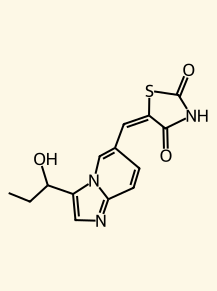 CCC(O)c1cnc2ccc(C=C3SC(=O)NC3=O)cn12